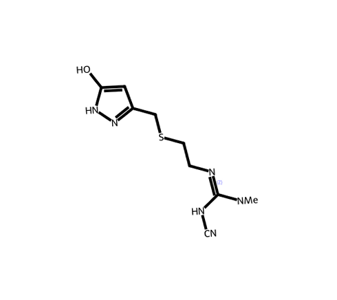 CN/C(=N/CCSCc1cc(O)[nH]n1)NC#N